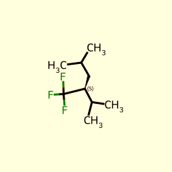 CC(C)C[C@@H](C(C)C)C(F)(F)F